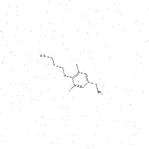 Cc1cc(CN)cc(C)c1OCCCO